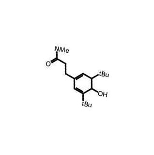 CNC(=O)CCC1=CC(C(C)(C)C)C(O)C(C(C)(C)C)=C1